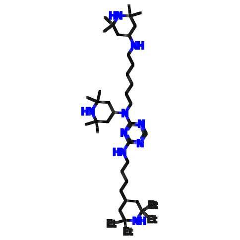 CCC1(CC)CC(CCCCNc2ncnc(N(CCCCCCNC3CC(C)(C)NC(C)(C)C3)C3CC(C)(C)NC(C)(C)C3)n2)CC(CC)(CC)N1